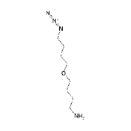 [N-]=[N+]=NCCCCOCCCCN